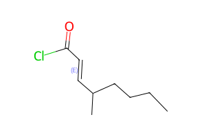 CCCCC(C)/C=C/C(=O)Cl